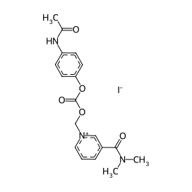 CC(=O)Nc1ccc(OC(=O)OC[n+]2cccc(C(=O)N(C)C)c2)cc1.[I-]